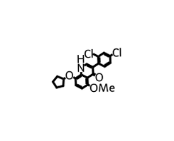 COc1ccc(OC2CCCC2)c2[nH]cc(-c3ccc(Cl)cc3Cl)c(=O)c12